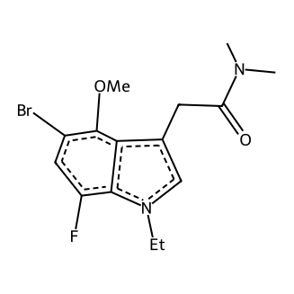 CCn1cc(CC(=O)N(C)C)c2c(OC)c(Br)cc(F)c21